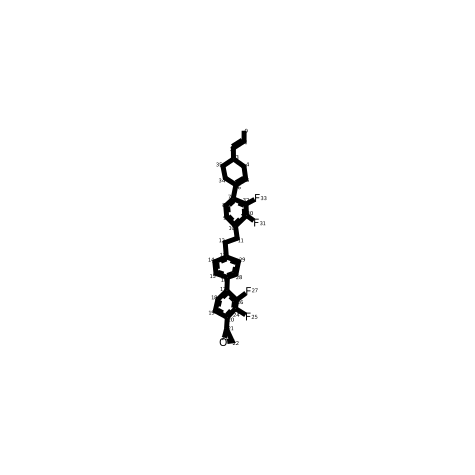 C/C=C/C1CC=C(c2ccc(CCc3ccc(-c4ccc(C5CO5)c(F)c4F)cc3)c(F)c2F)CC1